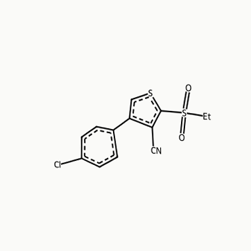 CCS(=O)(=O)c1scc(-c2ccc(Cl)cc2)c1C#N